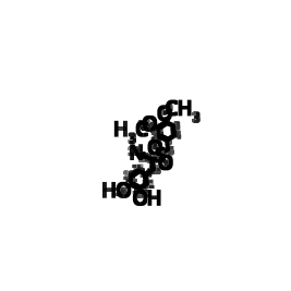 COc1ccc(CS(=O)(=O)/C(C#N)=C/c2ccc(O)c(O)c2)cc1OC